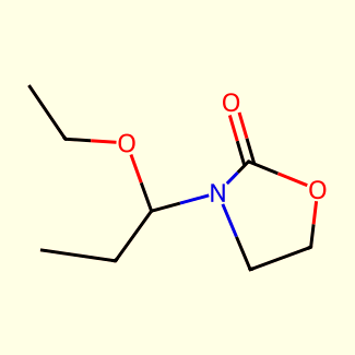 CCOC(CC)N1CCOC1=O